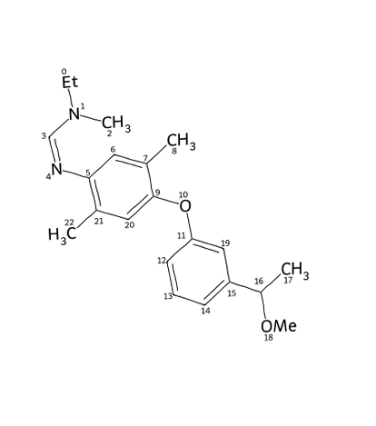 CCN(C)/C=N\c1cc(C)c(Oc2cccc(C(C)OC)c2)cc1C